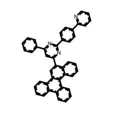 c1ccc(-c2cc(-c3cc4c5ccccc5c5ccccc5c4c4ccccc34)nc(-c3ccc(-c4ccccn4)cc3)n2)cc1